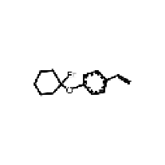 C=Cc1ccc(OC2(CC)CCCCC2)cc1